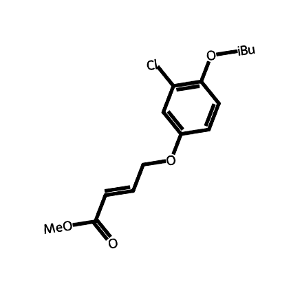 CCC(C)Oc1ccc(OCC=CC(=O)OC)cc1Cl